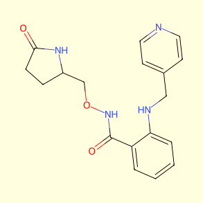 O=C1CCC(CONC(=O)c2ccccc2NCc2ccncc2)N1